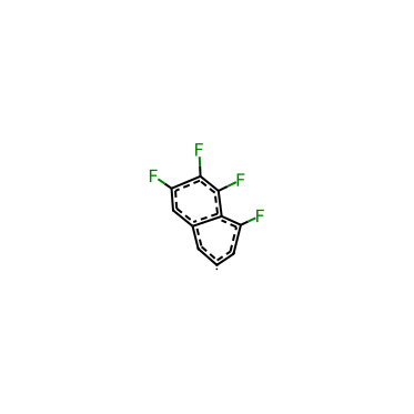 Fc1cc2c[c]cc(F)c2c(F)c1F